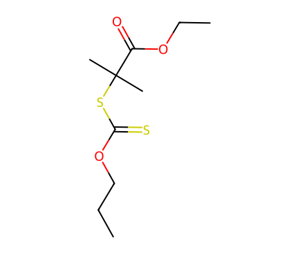 CCCOC(=S)SC(C)(C)C(=O)OCC